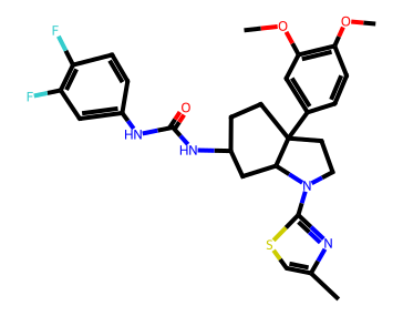 COc1ccc(C23CCC(NC(=O)Nc4ccc(F)c(F)c4)CC2N(c2nc(C)cs2)CC3)cc1OC